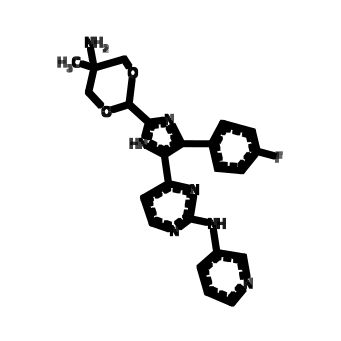 CC1(N)COC(c2nc(-c3ccc(F)cc3)c(-c3ccnc(Nc4cccnc4)n3)[nH]2)OC1